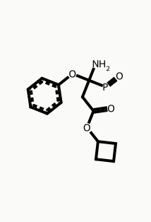 NC(CC(=O)OC1CCC1)(Oc1ccccc1)P=O